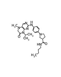 CCCCNC(=O)C1CCN(c2ccc(Nc3ncc4c(n3)N(C(C)C)C(=O)CN4C)cc2)C1